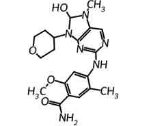 COc1cc(Nc2ncc3c(n2)N(C2CCOCC2)C(O)N3C)c(C)cc1C(N)=O